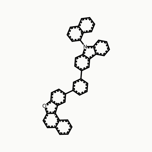 c1cc(-c2ccc3oc4ccc5ccccc5c4c3c2)cc(-c2ccc3c(c2)c2ccccc2n3-c2cccc3ccccc23)c1